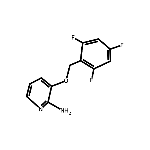 Nc1ncccc1OCc1c(F)cc(F)cc1F